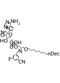 CCCCCCCCCCCCCCCCCCOC[C@H](COP(=O)(O)OC[C@H]1O[C@@](C=NC)(c2ccc3c(N)ncnn23)[C@H](O)[C@@H]1O)N(C)Cc1cc(F)cc(C#N)c1